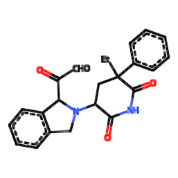 CCC1(c2ccccc2)CC(N2Cc3ccccc3C2C(=O)C=O)C(=O)NC1=O